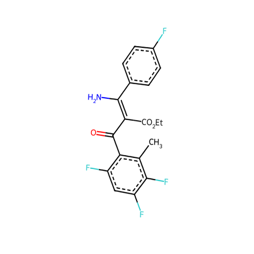 CCOC(=O)C(C(=O)c1c(F)cc(F)c(F)c1C)=C(N)c1ccc(F)cc1